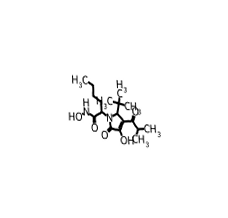 CCCCC(C(=O)NO)N1C(=O)C(O)=C(C(=O)C(C)C)C1C(C)(C)C